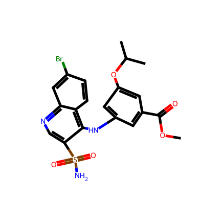 COC(=O)c1cc(Nc2c(S(N)(=O)=O)cnc3cc(Br)ccc23)cc(OC(C)C)c1